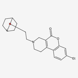 CCc1ccc2c3c(c(=O)oc2c1)CN(CCN1CC2CCC(CC2)C1)CC3